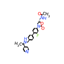 CC(=O)NC[C@H]1CN(c2ccc(-c3ccc(CN[C@H](C)c4ccncc4)cc3)c(F)c2)C(=O)O1